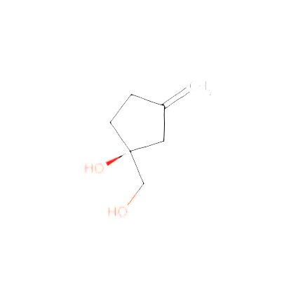 C=C1CC[C@@](O)(CO)C1